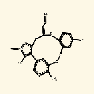 Cn1nc2c(c1C#N)-c1cnc(N)c(c1)OCc1cc(F)ccc1N/C(=C\C=N)C2